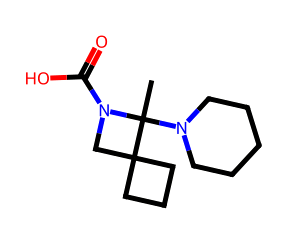 CC1(N2CCCCC2)N(C(=O)O)CC12CCC2